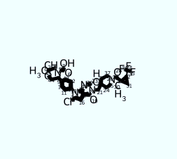 CC1(C)CN(C(=O)O)C(c2ccc(-n3c(Cl)cc4c(=O)n(CC5(O)CCN(C(=O)[C@@]6(C)C[C@@H]6C(F)(F)F)CC5)cnc43)cc2)CO1